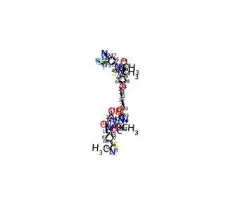 Cc1ncsc1-c1ccc(CNC(=O)C2CC(O)CN2C(=O)C(C(C)C)n2cc(OCC#CC#CCOc3ccc(N4C(=S)N(c5ccc(C#N)c(C(F)(F)CF)c5)C(=O)C4(C)C)cc3)cn2)cc1